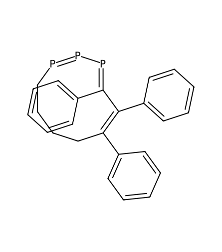 c1ccc(C2=P\P=P/CCCC/C(c3ccccc3)=C\2c2ccccc2)cc1